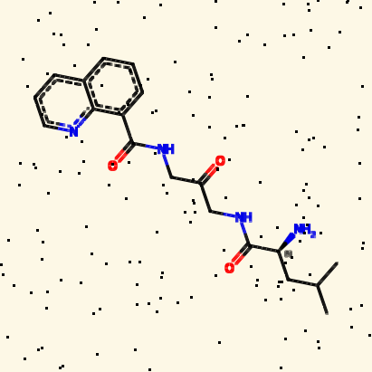 CC(C)C[C@H](N)C(=O)NCC(=O)CNC(=O)c1cccc2cccnc12